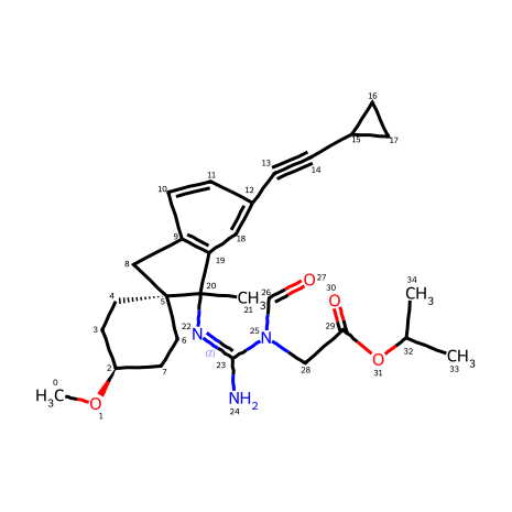 CO[C@H]1CC[C@]2(CC1)Cc1ccc(C#CC3CC3)cc1C2(C)/N=C(/N)N(C=O)CC(=O)OC(C)C